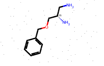 NC[C@H](N)COCc1ccccc1